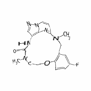 CN1CCOc2ccc(F)cc2CN(C)c2ccn3ncc(c3n2)NC1=O